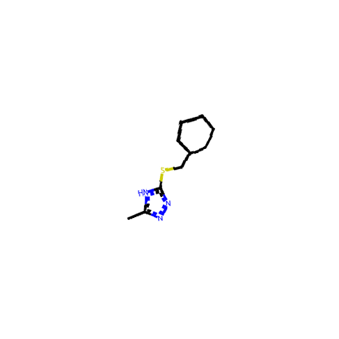 Cc1nnc(SCC2CCCCC2)[nH]1